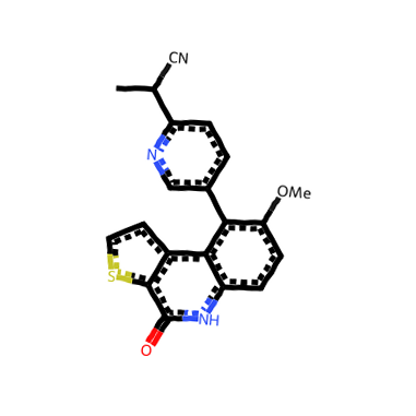 COc1ccc2[nH]c(=O)c3sccc3c2c1-c1ccc(C(C)C#N)nc1